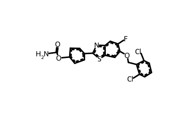 NC(=O)Oc1ccc(-c2nc3cc(F)c(OCc4c(Cl)cccc4Cl)cc3s2)cc1